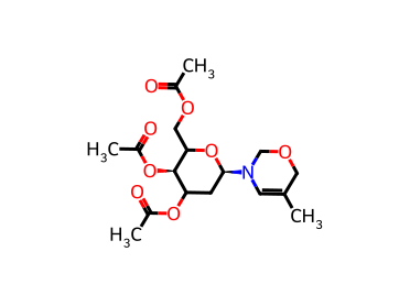 CC(=O)OCC1O[C@@H](N2C=C(C)COC2)CC(OC(C)=O)[C@H]1OC(C)=O